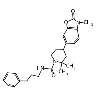 Cn1c(=O)oc2cc(C3CCN(C(=O)NCCCc4ccccc4)C(C)(C)C3)ccc21